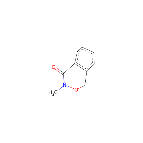 CN1OCc2ccccc2C1=O